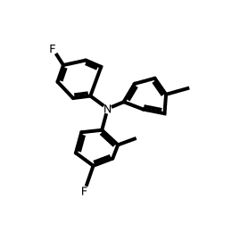 Cc1ccc(N(c2ccc(F)cc2)c2ccc(F)cc2C)cc1